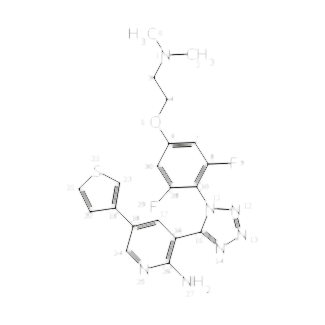 CN(C)CCOc1cc(F)c(-n2nnnc2-c2cc(-c3ccsc3)cnc2N)c(F)c1